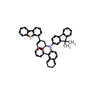 CC1(C)c2ccccc2-c2ccc(N(c3ccc4c(c3-c3ccccc3)=CCCC=4)C3C=CC=C(c4cccc5c4sc4ccccc45)C3)cc21